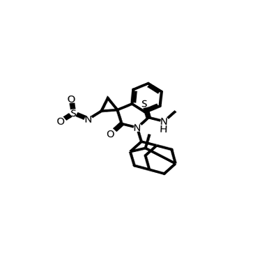 CNC(=S)N(C(=O)C1(c2ccccc2)CC1N=S(=O)=O)C1C2CC3CC(C2)C(C)C1C3